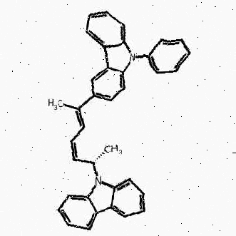 C/C(=C\C=C/[C@H](C)n1c2ccccc2c2ccccc21)c1ccc2c(c1)c1ccccc1n2-c1ccccc1